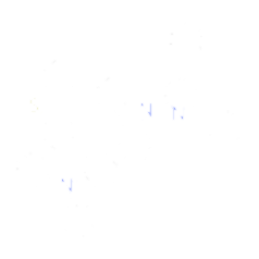 c1ccc(-c2cc(-c3ccccc3)nc(-n3c4ccccc4c4cc(-c5cccc6sc7ccc(-c8cccc9c%10ccccc%10n(-c%10ccccc%10)c89)cc7c56)ccc43)c2)cc1